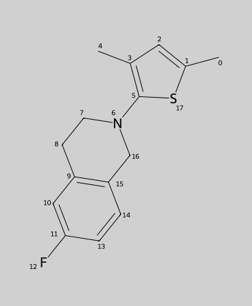 Cc1cc(C)c(N2CCc3cc(F)ccc3C2)s1